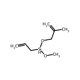 C=CC[SiH](OC)OCC(=C)C